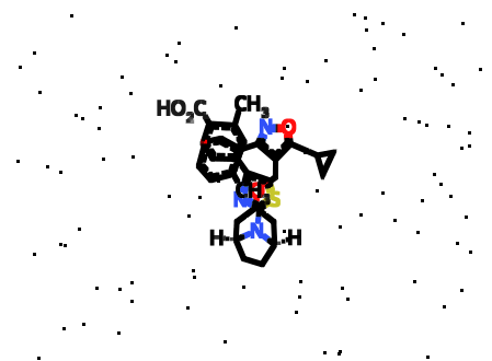 Cc1cc(-c2csc(N3[C@@H]4CC[C@H]3C[C@@H](OCc3c(-c5ccccc5C)noc3C3CC3)C4)n2)ccc1C(=O)O